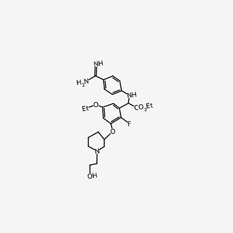 CCOC(=O)C(Nc1ccc(C(=N)N)cc1)c1cc(OCC)cc(OC2CCCN(CCO)C2)c1F